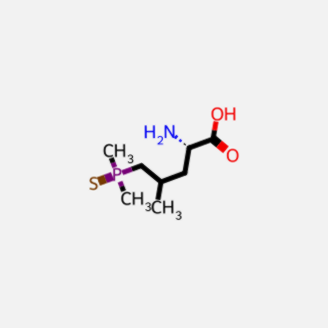 CC(C[C@H](N)C(=O)O)CP(C)(C)=S